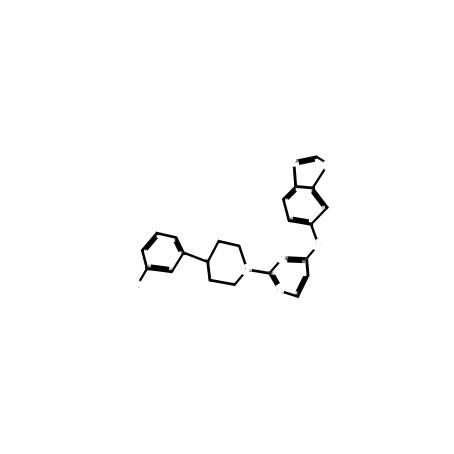 Nc1cccc(C2CCN(c3nccc(Nc4ccc5ncsc5c4)n3)CC2)c1